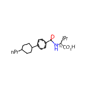 CCCC1CCC(c2ccc(C(=O)N[C@H](C(=O)O)C(C)C)cc2)CC1